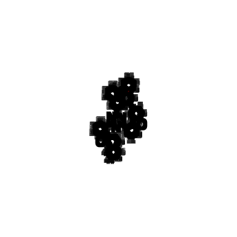 c1ccc(-c2ccc3oc4cccc(-c5nc(-c6ccc7c(-c8ccccc8)cccc7c6)nc(-c6cccc7oc8c9ccccc9ccc8c67)n5)c4c3c2)cc1